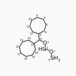 [SiH3]O[SiH]OC(C1CCCCCCC1)C1CCCCCCC1